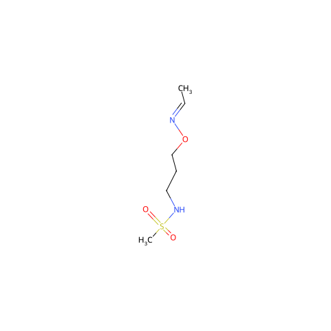 CC=NOCCCNS(C)(=O)=O